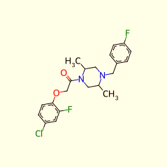 CC1CN(C(=O)COc2ccc(Cl)cc2F)C(C)CN1Cc1ccc(F)cc1